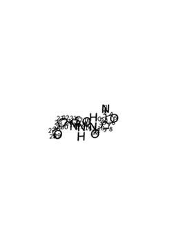 C[C@@]1(C#N)COCc2ccc(C(=O)NCC(=O)Nc3nc(-c4cccc(C5CCO5)c4)cs3)cc21